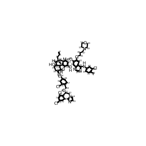 C=CCN1CC[C@]23c4c5ccc(O)c4O[C@H]2C(=O)CC[C@@]3(O)[C@H]1C5.COc1cc2ncnc(Nc3ccc(F)c(Cl)c3)c2cc1OCCCN1CCOCC1.Clc1ccc(COC(Cn2ccnc2)c2ccc(Cl)cc2Cl)c(Cl)c1